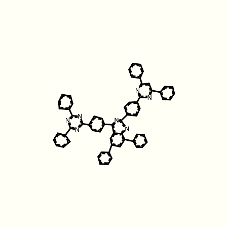 c1ccc(-c2cc(-c3ccccc3)c3nc(-c4ccc(-c5nc(-c6ccccc6)cc(-c6ccccc6)n5)cc4)nc(-c4ccc(-c5nc(-c6ccccc6)nc(-c6ccccc6)n5)cc4)c3c2)cc1